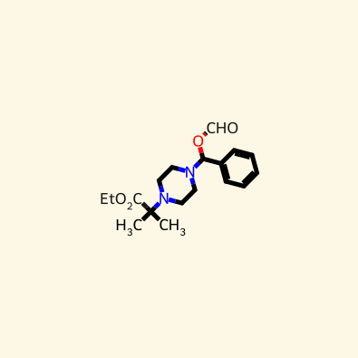 CCOC(=O)C(C)(C)N1CCN(C(OC=O)c2ccccc2)CC1